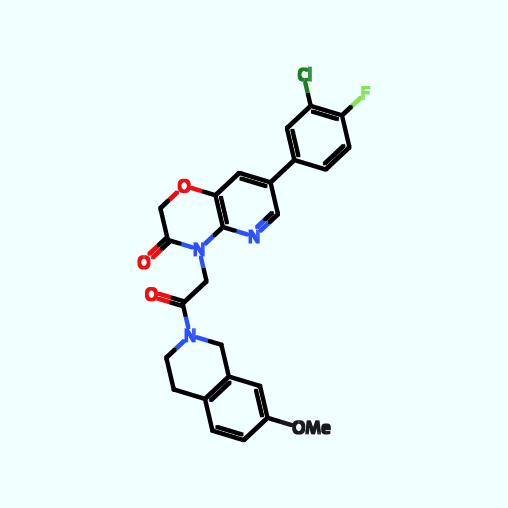 COc1ccc2c(c1)CN(C(=O)CN1C(=O)COc3cc(-c4ccc(F)c(Cl)c4)cnc31)CC2